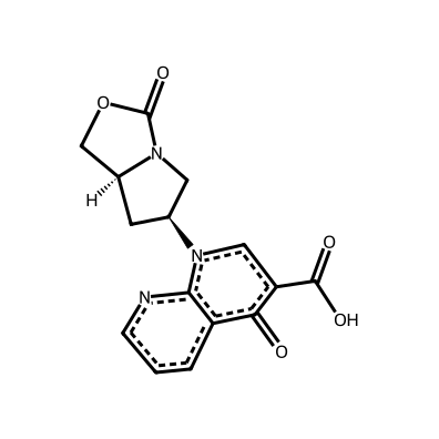 O=C(O)c1cn([C@H]2C[C@H]3COC(=O)N3C2)c2ncccc2c1=O